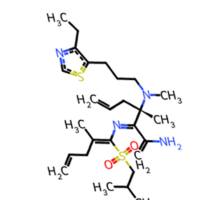 C=CC/C(C)=C(/N=C(\C(=C)N)[C@](C)(CC=C)N(C)CCCc1scnc1CC)S(=O)(=O)CC(C)C